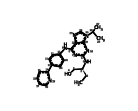 CC[C@H](CO)Nc1nc(Nc2ccc(-c3ccccn3)cc2)c2ncn(C(C)C)c2n1